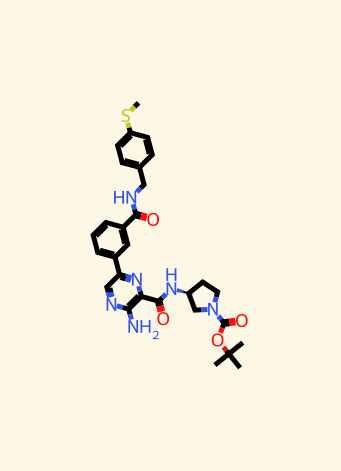 CSc1ccc(CNC(=O)c2cccc(-c3cnc(N)c(C(=O)N[C@H]4CCN(C(=O)OC(C)(C)C)C4)n3)c2)cc1